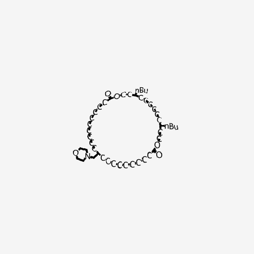 CCCCC1CCCCCCC(CCCC)CCOC(=O)CCCCCCCCCC(CN2CCOCC2)CCCCCCCCCC(=O)OCC1